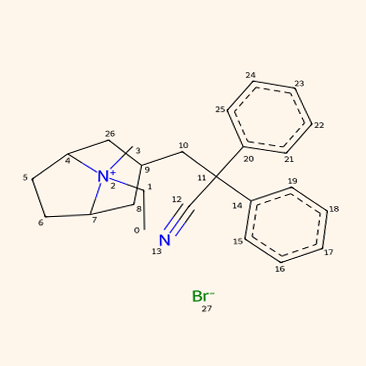 CC[N+]1(C)C2CCC1CC(CC(C#N)(c1ccccc1)c1ccccc1)C2.[Br-]